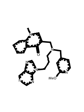 COc1cc(CN(CCCn2cnc3cncnc32)Cc2cn(C)c3ccccc3c2=O)ccn1